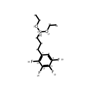 CCO[SiH](CCCc1cc(F)c(F)c(F)c1F)OCC